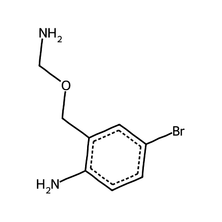 NCOCc1cc(Br)ccc1N